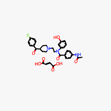 CC(=O)Nc1ccc(C(=O)N(CCN2CCC(C(=O)c3ccc(F)cc3)CC2)c2cccc(O)c2)cc1.O=C(O)C=CC(=O)O